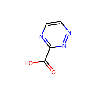 O=C(O)c1nccnn1